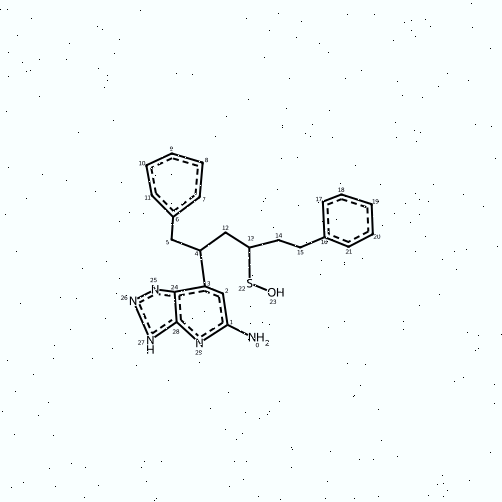 Nc1cc(C(Cc2ccccc2)CC(CCc2ccccc2)SO)c2nn[nH]c2n1